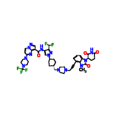 Cn1c(=O)n(C2CCC(=O)NC2=O)c2cccc(C#CCN3CCN(C[C@H]4CC[C@H](n5cc(NC(=O)c6cnn7ccc(N8CCN(C(F)(F)F)CC8)nc67)c(C(F)F)n5)CC4)CC3)c21